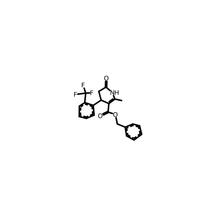 CC1=C(C(=O)OCc2ccccc2)C(c2ccccc2C(F)(F)F)CC(=O)N1